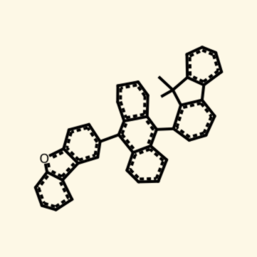 CC1(C)c2ccccc2-c2cccc(-c3c4ccccc4c(-c4ccc5oc6ccccc6c5c4)c4ccccc34)c21